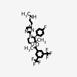 CNCCn1cnc(N2CCO[C@](C)(O[C@H](C)c3cc(C(F)(F)F)cc(C(F)(F)F)c3)[C@@H]2c2ccc(F)cc2)n1